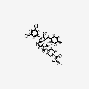 CC(=O)N(C)C(=O)N1CCN(S(=O)(=O)c2cnc3n2[C@](C)(Cc2ccc(Br)cc2)C(=O)N3c2cc(Cl)cc(Cl)c2)CC1